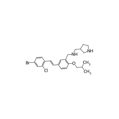 CC(C)COc1ccc(/C=C/c2ccc(Br)cc2Cl)cc1CNCC1CCNC1